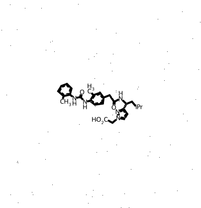 Cc1ccccc1NC(=O)Nc1ccc(CC(=O)NC(CC(C)C)c2ccn(CC(=O)O)n2)cc1C